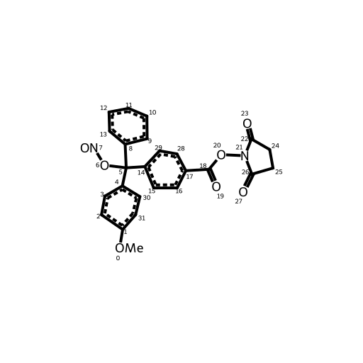 COc1ccc(C(ON=O)(c2ccccc2)c2ccc(C(=O)ON3C(=O)CCC3=O)cc2)cc1